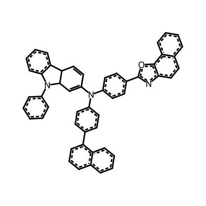 C1=CC2c3ccccc3N(c3ccccc3)C2C=C1N(c1ccc(-c2nc3ccc4ccccc4c3o2)cc1)c1ccc(-c2cccc3ccccc23)cc1